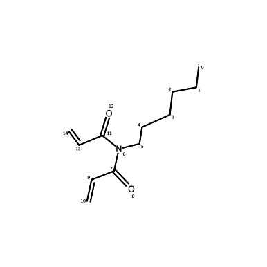 [CH2]CCCCCN(C(=O)C=C)C(=O)C=C